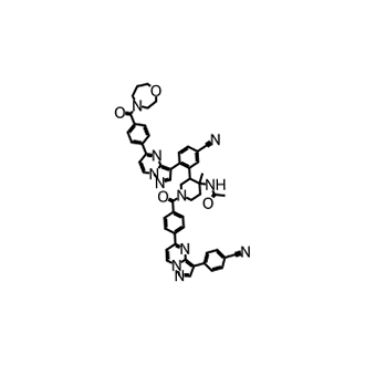 CC(=O)NC1(C)CCN(C(=O)c2ccc(-c3ccn4ncc(-c5ccc(C#N)cc5)c4n3)cc2)CC1c1cc(C#N)ccc1-c1cnn2ccc(-c3ccc(C(=O)N4CCCOCC4)cc3)nc12